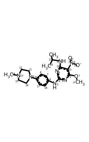 COc1nc(Nc2ccc(N3CCN(C)CC3)cc2)nc(NC(C)C)c1[N+](=O)[O-]